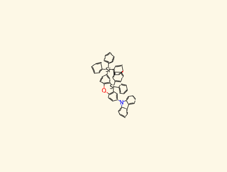 c1ccc([Si](c2ccccc2)(c2ccccc2)c2ccc3c(c2)[Si](c2ccccc2)(c2ccccc2)c2cc(-n4c5ccccc5c5ccccc54)ccc2O3)cc1